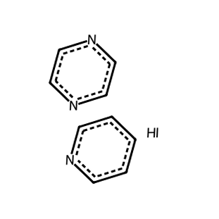 I.c1ccncc1.c1cnccn1